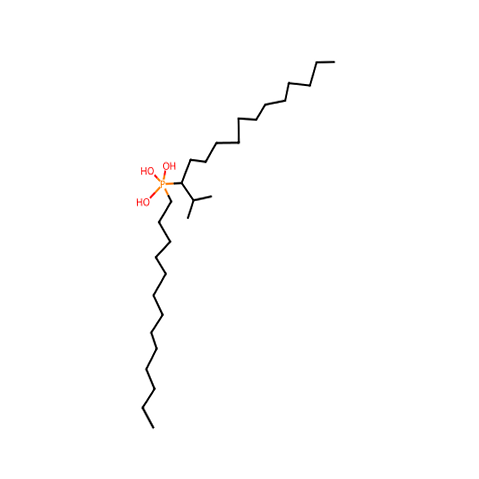 CCCCCCCCCCCCCP(O)(O)(O)C(CCCCCCCCCCCC)C(C)C